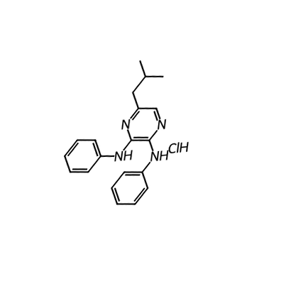 CC(C)Cc1cnc(Nc2ccccc2)c(Nc2ccccc2)n1.Cl